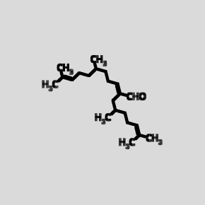 CC(C)=CCCC(C)CC/C=C(/C=O)CC(C)CCC=C(C)C